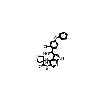 CN1C(=O)C2(CCOCC2)Nc2c1cnc1[nH]cc(C(O)c3ccc(Oc4ccccc4)cc3Cl)c21